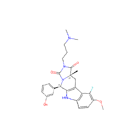 COc1ccc2[nH]c3c(c2c1F)C[C@@]1(C)C(=O)N(CCCN(C)C)C(=O)N1[C@@H]3c1cccc(O)c1